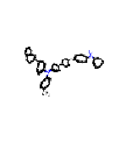 Cc1ccc(N(c2ccc(C3=Cc4ccccc4CC3)cc2)c2ccc(-c3ccc(C4=CCC(NC5=CCC=CC=C5)C=C4)cc3)cc2)cc1